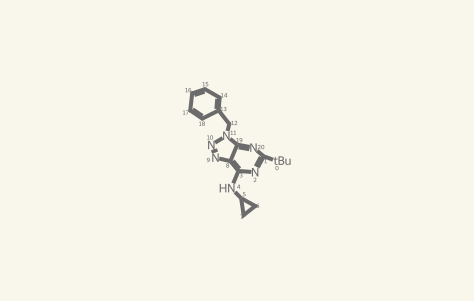 CC(C)(C)c1nc(NC2CC2)c2nnn(Cc3ccccc3)c2n1